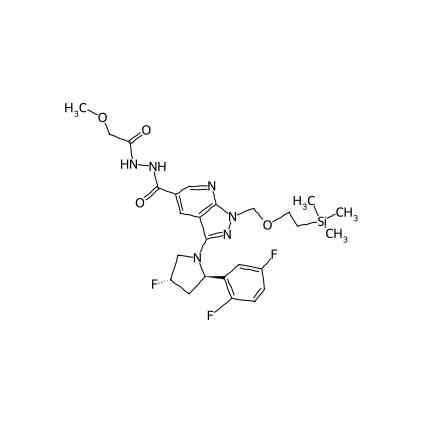 COCC(=O)NNC(=O)c1cnc2c(c1)c(N1C[C@@H](F)C[C@@H]1c1cc(F)ccc1F)nn2COCC[Si](C)(C)C